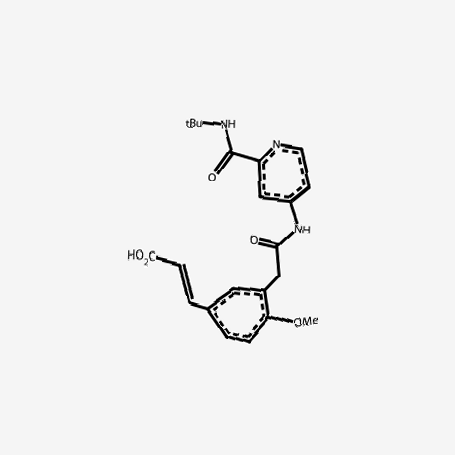 COc1ccc(C=CC(=O)O)cc1CC(=O)Nc1ccnc(C(=O)NC(C)(C)C)c1